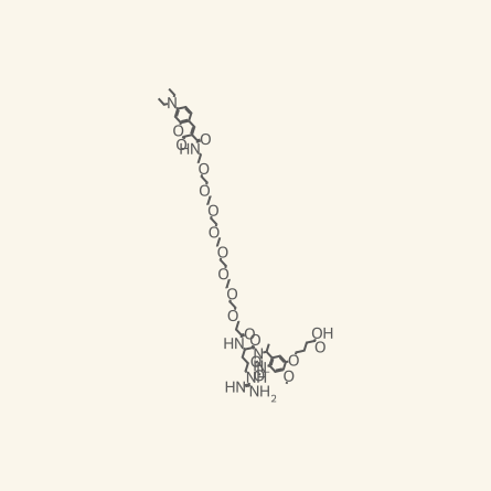 CCN(CC)c1ccc2cc(C(=O)NCCOCCOCCOCCOCCOCCOCCOCCOCCC(=O)NC(CCCNC(=N)N)C(=O)NC(C)c3cc(OCCCC(=O)O)c(OC)cc3[N+](=O)[O-])c(=O)oc2c1